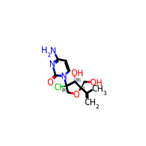 C=C(C)[C@]1(CO)OC[C@](Cl)(n2ccc(N)nc2=O)[C@@H]1O